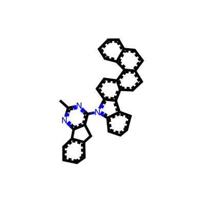 Cc1nc2c(c(-n3c4ccccc4c4c5ccc6ccc7ccccc7c6c5ccc43)n1)Cc1ccccc1-2